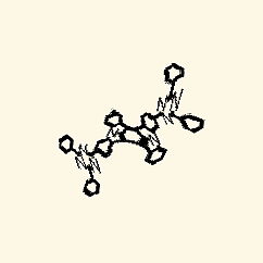 c1ccc(-c2nc(-c3ccccc3)nc(-c3ccc4c5c6c7ccccc7n7c8cc(-c9nc(-c%10ccccc%10)nc(-c%10ccccc%10)n9)ccc8c(c8c9ccccc9n(c4c3)c85)c67)n2)cc1